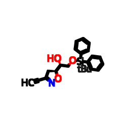 C#CC1=NO[C@H]([C@H](O)CO[Si](c2ccccc2)(c2ccccc2)C(C)(C)C)C1